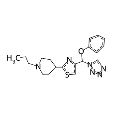 CCCN1CCC(c2nc(C(Oc3ccccc3)n3cnnn3)cs2)CC1